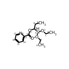 CCO[SiH](OCC)C(CC)OC(=O)c1ccccn1